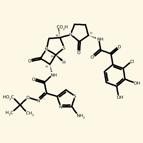 CC(C)(O/N=C(\C(=O)N[C@@H]1C(=O)N2C[C@@](C(=O)O)(N3CC[C@H](NC(=O)C(=O)c4ccc(O)c(O)c4Cl)C3=O)S[C@H]12)c1csc(N)n1)C(=O)O